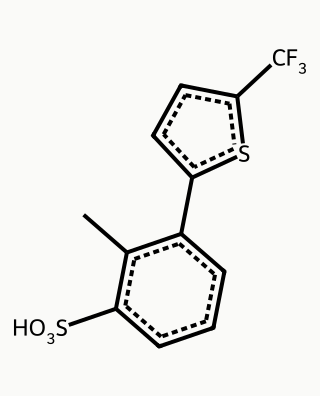 Cc1c(-c2ccc(C(F)(F)F)s2)cccc1S(=O)(=O)O